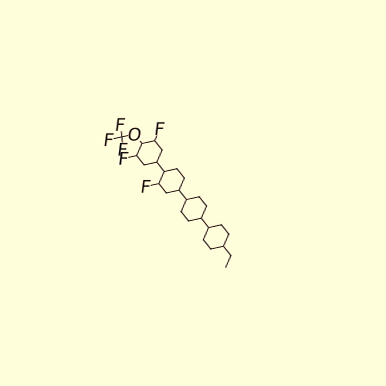 CCC1CCC(C2CCC(C3CCC(C4CC(F)C(OC(F)(F)F)C(F)C4)C(F)C3)CC2)CC1